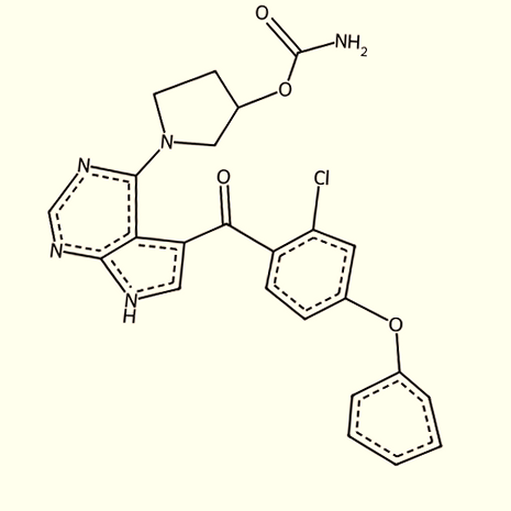 NC(=O)OC1CCN(c2ncnc3[nH]cc(C(=O)c4ccc(Oc5ccccc5)cc4Cl)c23)C1